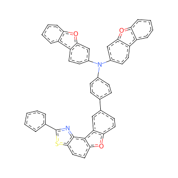 c1ccc(-c2nc3c(ccc4oc5ccc(-c6ccc(N(c7ccc8c(c7)oc7ccccc78)c7ccc8c(c7)oc7ccccc78)cc6)cc5c43)s2)cc1